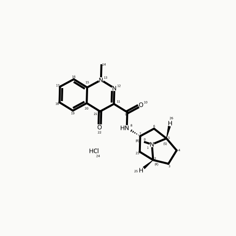 CN1[C@@H]2CC[C@H]1C[C@@H](NC(=O)c1nn(C)c3ccccc3c1=O)C2.Cl